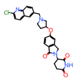 O=C1CCC(N2Cc3cc(OC4CCN(Cc5ccc6nc(Cl)ccc6c5)C4)ccc3C2=O)C(=O)N1